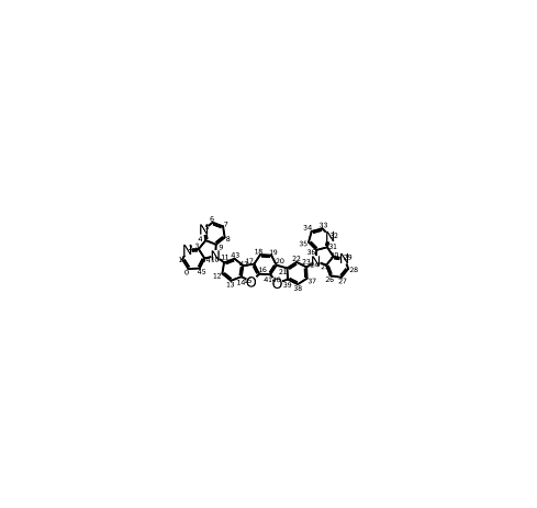 c1cnc2c3ncccc3n(-c3ccc4oc5c(ccc6c7cc(-n8c9cccnc9c9ncccc98)ccc7oc65)c4c3)c2c1